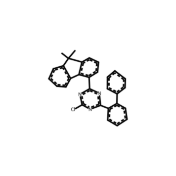 CC1(C)c2ccccc2-c2c(-c3nc(Cl)nc(-c4ccccc4-c4ccccc4)n3)cccc21